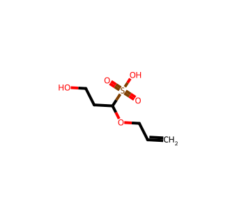 C=CCOC(CCO)S(=O)(=O)O